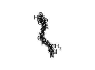 C[C@H]1CC2(CCN(c3ccc(C(=O)N4CCN(C5CN(c6cc7c(cc6F)C(=O)N(C6CCC(=O)NC6=O)C7=O)C5)CC4)cc3F)CC2)CN1c1ccc(C#N)c(Cl)c1